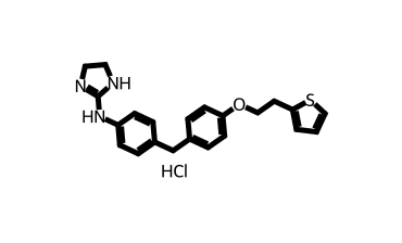 Cl.c1csc(CCOc2ccc(Cc3ccc(NC4=NCCN4)cc3)cc2)c1